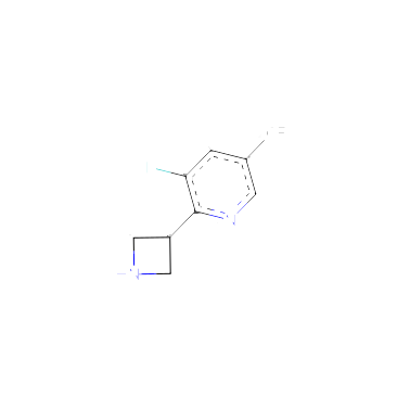 Fc1cc(C(F)(F)F)cnc1C1CNC1